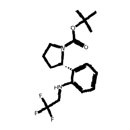 CC(C)(C)OC(=O)N1CCC[C@H]1c1ccccc1NCC(F)(F)F